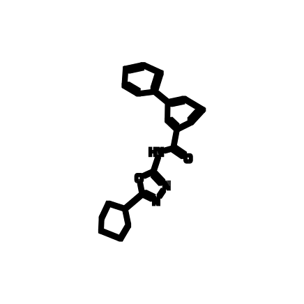 O=C(Nc1nnc(C2CCCCC2)o1)c1cccc(-c2ccccc2)c1